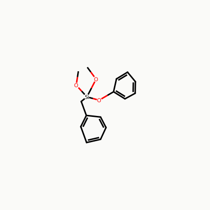 CO[Si](Cc1ccccc1)(OC)Oc1ccccc1